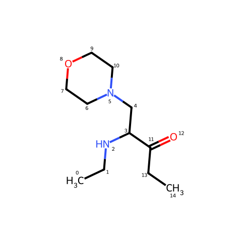 CCNC(CN1CCOCC1)C(=O)CC